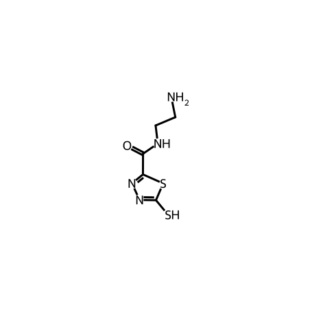 NCCNC(=O)c1nnc(S)s1